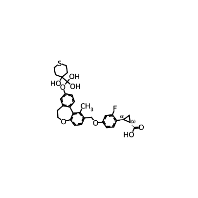 Cc1c(COc2ccc([C@H]3C[C@@H]3C(=O)O)c(F)c2)ccc2c1-c1ccc(OC(O)(O)C3(O)CCSCC3)cc1CCO2